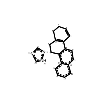 C1=CC2=C(CC1)CCc1c2ccc2ccccc12.c1nc[nH]n1